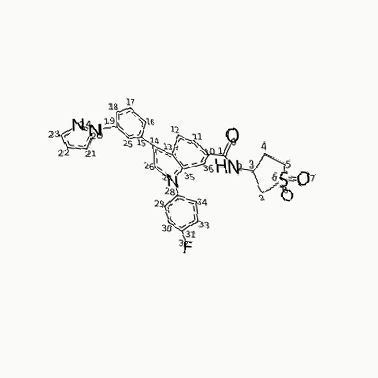 O=C(NC1CCS(=O)(=O)C1)c1ccc2c(-c3cccc(-n4cccn4)c3)cn(-c3ccc(F)cc3)c2c1